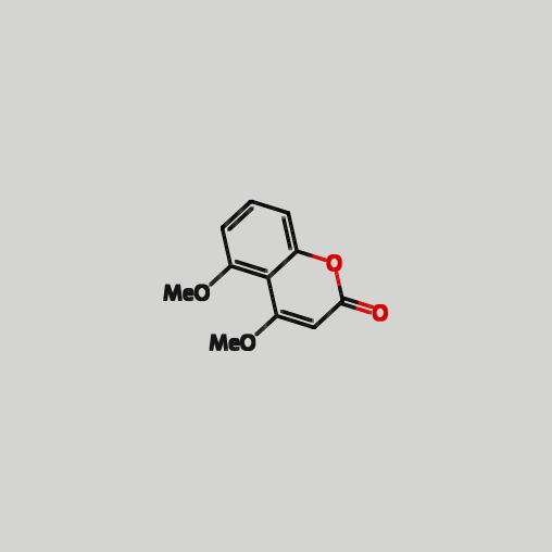 COc1cccc2oc(=O)cc(OC)c12